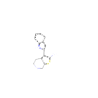 Nc1sc2c(c1-c1cc3ccccc3[nH]1)CCNC2